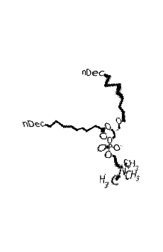 CCCCCCCCCCCCCCCC/C=C\OC[C@H](COP(=O)([O-])OCC[N+](C)(C)C)OC(=O)CCCCCCCCCCCCCCCCCC